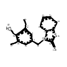 Cc1cc(Cn2c(=S)sc3ccccc32)cc(C)c1O